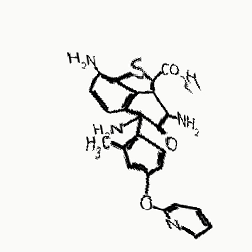 Cc1cc(Oc2ccccn2)ccc1C1(N)C(=O)C(N)c2c(C(=O)O)sc3c(N)ccc1c23